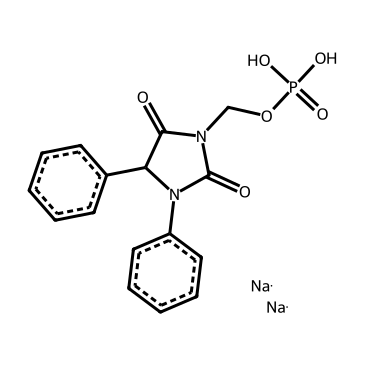 O=C1C(c2ccccc2)N(c2ccccc2)C(=O)N1COP(=O)(O)O.[Na].[Na]